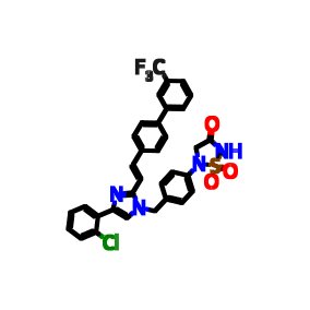 O=C1CN(c2ccc(Cn3cc(-c4ccccc4Cl)nc3/C=C/c3ccc(-c4cccc(C(F)(F)F)c4)cc3)cc2)S(=O)(=O)N1